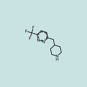 FC(F)(F)c1ccc(CC2CCNCC2)nn1